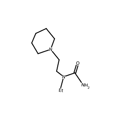 CCN(CCN1CCCCC1)C(N)=O